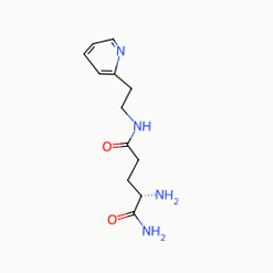 NC(=O)[C@@H](N)CCC(=O)NCCc1ccccn1